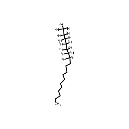 [2H]C([2H])([2H])C([2H])([2H])C([2H])([2H])C([2H])([2H])C([2H])([2H])C([2H])([2H])C([2H])([2H])CCCCCCCCCCC